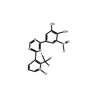 O=[N+]([O-])c1cc(-c2ncnc(-c3ccc[n+]([O-])c3C(F)(F)F)n2)cc(O)c1O